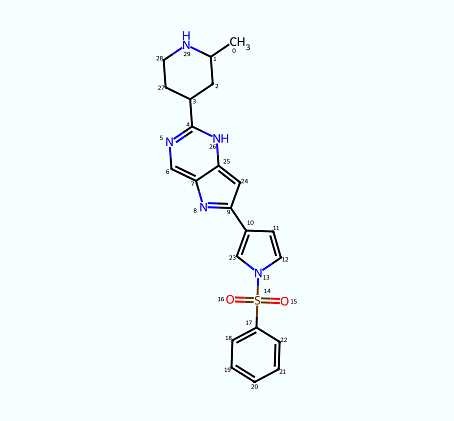 CC1CC(c2ncc3nc(-c4ccn(S(=O)(=O)c5ccccc5)c4)cc-3[nH]2)CCN1